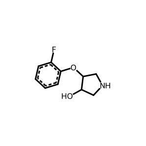 OC1CNCC1Oc1ccccc1F